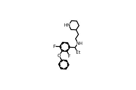 CCC(NCCC1CCCNC1)c1ccc(F)c(Oc2ccccc2)c1F